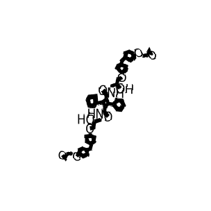 O=C(NCC(O)COc1ccc(Cc2ccc(OCC3CO3)cc2)cc1)C1C(c2ccccc2)C(C(=O)NCC(O)COc2ccc(Cc3ccc(OCC4CO4)cc3)cc2)C1c1ccccc1